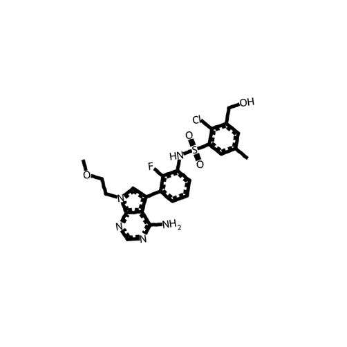 COCCn1cc(-c2cccc(NS(=O)(=O)c3cc(C)cc(CO)c3Cl)c2F)c2c(N)ncnc21